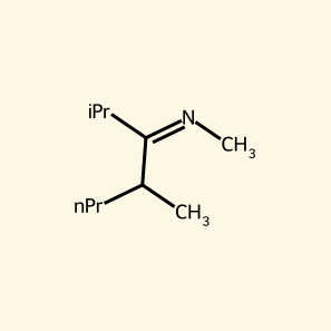 CCCC(C)/C(=N\C)C(C)C